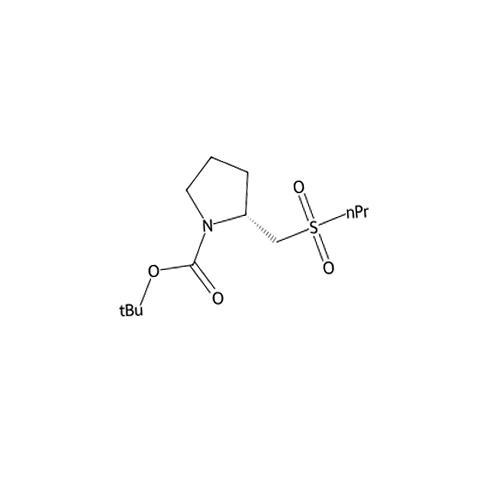 CCCS(=O)(=O)C[C@H]1CCCN1C(=O)OC(C)(C)C